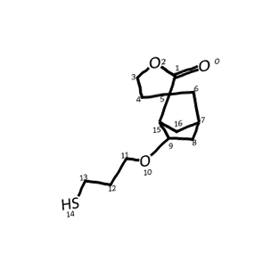 O=C1OCCC12CC1CC(OCCCS)C2C1